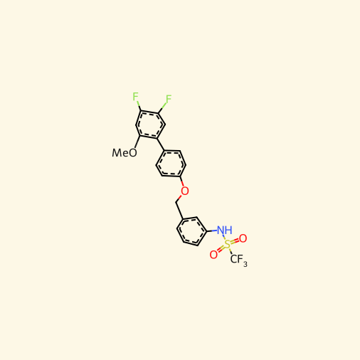 COc1cc(F)c(F)cc1-c1ccc(OCc2cccc(NS(=O)(=O)C(F)(F)F)c2)cc1